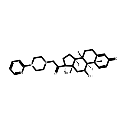 C[C@]12C=CC(=O)C=C1CC[C@@H]1[C@@H]2C(O)C[C@@]2(C)[C@H]1CC[C@]2(O)C(=O)CN1CCN(c2ccccn2)CC1